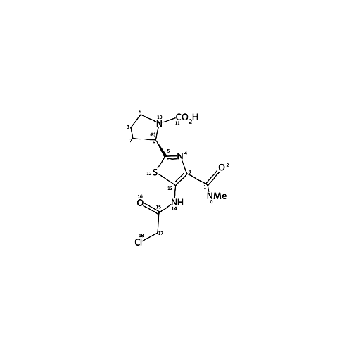 CNC(=O)c1nc([C@H]2CCCN2C(=O)O)sc1NC(=O)CCl